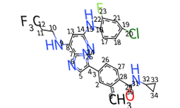 Cc1cc(-c2cnc3c(NCCC(F)(F)F)cc(Nc4ccc(Cl)cc4F)nn23)ccc1C(=O)NC1CC1